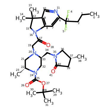 CCCC(F)(F)c1cc2c(cn1)C(C)(C)CN2C(=O)CN1C[C@@H](C)N(C(=O)OC(C)(C)C)C[C@@H]1CN1C[C@H](C)CC1=O